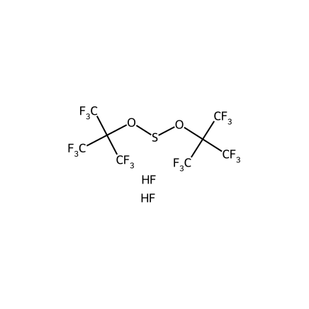 F.F.FC(F)(F)C(OSOC(C(F)(F)F)(C(F)(F)F)C(F)(F)F)(C(F)(F)F)C(F)(F)F